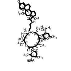 CC[C@H]1OC(=O)[C@H](C)[C@@H](O[C@@H]2C[C@](C)(OC)[C@H](O)C(C)O2)[C@H](C)[C@@H](O[C@@H]2O[C@H](C)C[C@@H](N(C)C)[C@H]2O)[C@](C)(O)C[C@@H](C)CN(CCCNC(=O)[C@@]2(O)CCC3C4CCC5=CC(=O)C=C[C@]5(C)[C@@]4(F)[C@@H](O)C[C@@]32C)[C@H](C)[C@@H](O)[C@]1(C)O